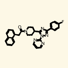 O=C(Cc1cccc2ccccc12)N1CCC(c2nc(-c3ccc(F)cc3)nn2-c2ncccn2)CC1